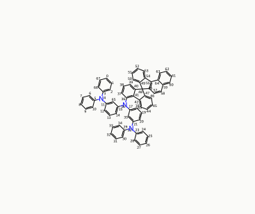 c1ccc(N(c2ccccc2)c2cccc(N(c3cccc(N(c4ccccc4)c4ccccc4)c3)c3cccc4c3-c3ccccc3C43c4ccccc4-c4c3ccc3ccccc43)c2)cc1